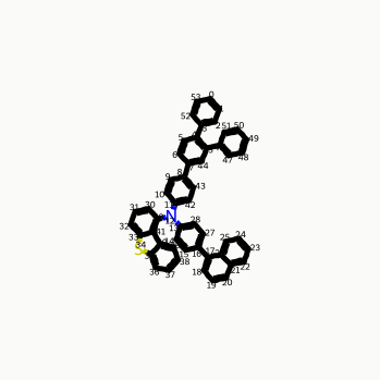 c1ccc(-c2ccc(-c3ccc(N(c4ccc(-c5cccc6ccccc56)cc4)c4cccc5sc6ccccc6c45)cc3)cc2-c2ccccc2)cc1